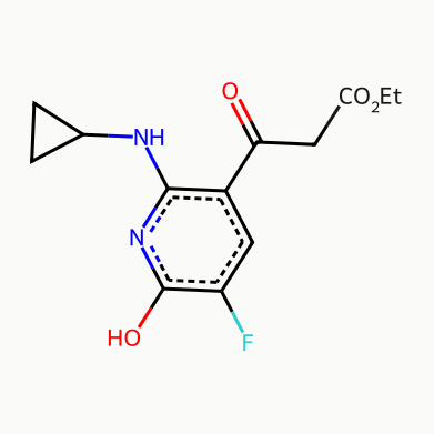 CCOC(=O)CC(=O)c1cc(F)c(O)nc1NC1CC1